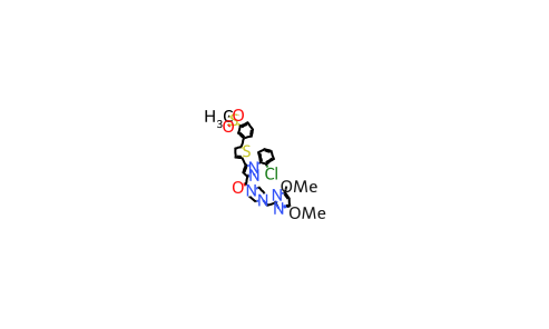 COc1cc(OC)nc(CN2CCN(C(=O)c3cc(C4=CCC(c5cccc(S(C)(=O)=O)c5)S4)n(-c4ccccc4Cl)n3)CC2)n1